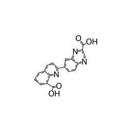 O=C(O)c1cnc2ccc(-c3ccc4cccc(C(=O)O)c4n3)cc2n1